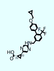 O=C(O)[C@H]1C[C@@H]1c1cnc(NCc2ccc(C(F)(F)F)c(-c3ccc(OCC4CC4)cc3)c2)cn1